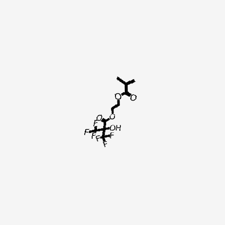 CC(C)C(=O)OCCOC(=O)C(O)(C(F)(F)F)C(F)(F)F